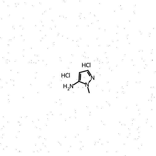 Cl.Cl.Cn1nccc1N